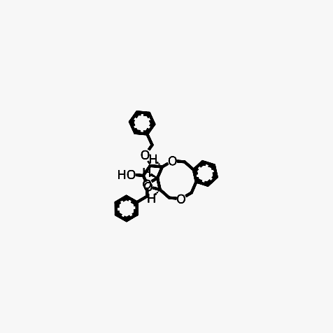 OC1O[C@@H]2COCc3ccccc3CO[C@@H]([C@H]2OCc2ccccc2)[C@H]1OCc1ccccc1